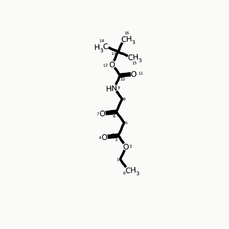 CCOC(=O)CC(=O)CNC(=O)OC(C)(C)C